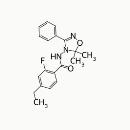 CCc1ccc(C(=O)NN2C(c3ccccc3)=NOC2(C)C)c(F)c1